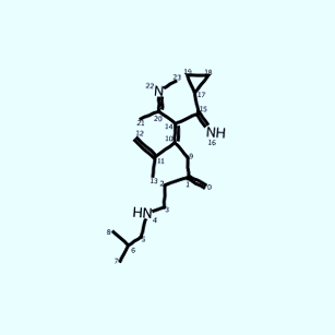 C=C(CCNCC(C)C)C/C(C(=C)C)=C(C(=N)C1CC1)/C(C)=N\C